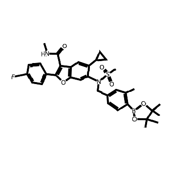 CNC(=O)c1c(-c2ccc(F)cc2)oc2cc(N(Cc3ccc(B4OC(C)(C)C(C)(C)O4)c(C)c3)S(C)(=O)=O)c(C3CC3)cc12